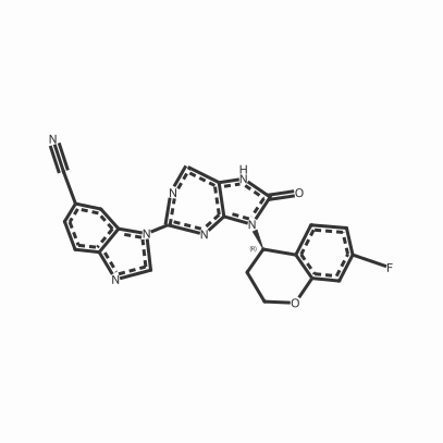 N#Cc1ccc2ncn(-c3ncc4[nH]c(=O)n([C@@H]5CCOc6cc(F)ccc65)c4n3)c2c1